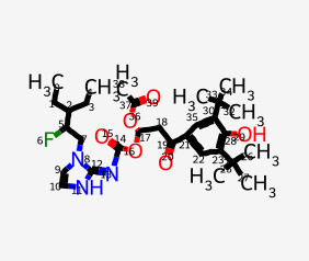 CCC(CC)C(F)Cn1cc[nH]c1=NC(=O)OC(CC(=O)c1cc(C(C)(C)C)c(O)c(C(C)(C)C)c1)OC(C)=O